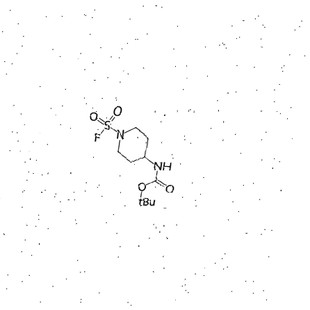 CC(C)(C)OC(=O)NC1CCN(S(=O)(=O)F)CC1